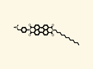 CCCCCCCCCCCCN1C(=O)c2ccc3c4ccc5c6c(ccc(c7ccc(c2c37)C1=O)c64)C(=O)N(c1ccc(CN(C)C)cc1)C5=O